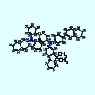 CC1(C)C2=CC=CCC2c2ccc(N(C3=CCC(c4ccccc4N4C5=C(C=CCC5)C5CC6C=CC=CC6CC54)C=C3)c3ccc(-c4ccc5c(c4)CCCC5)cc3)cc21